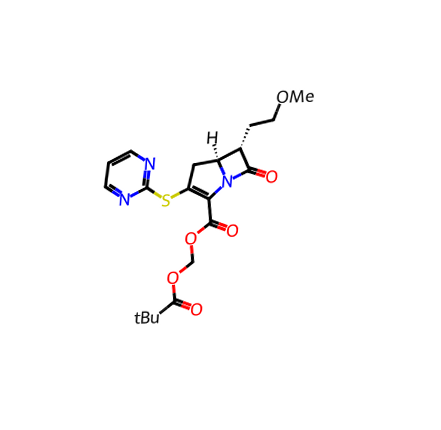 COCC[C@@H]1C(=O)N2C(C(=O)OCOC(=O)C(C)(C)C)=C(Sc3ncccn3)C[C@@H]12